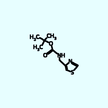 CC(C)(C)OC(=O)NCc1cscn1